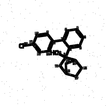 OC1(c2ccccc2-c2ccc(Cl)cc2)CC2CCC1C2